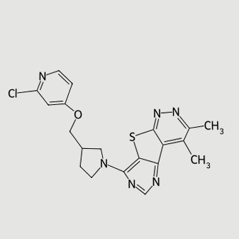 Cc1nnc2sc3c(N4CCC(COc5ccnc(Cl)c5)C4)ncnc3c2c1C